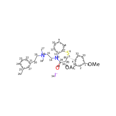 COc1ccc([C@H]2Sc3ccccc3N(CC[N+](C)(C)CCc3cccc(C)c3)C(=O)[C@H]2OC(C)=O)cc1.[I-]